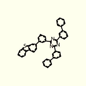 c1ccc(-c2cccc(-c3nc(-c4cccc(-c5ccccc5)c4)nc(-c4cccc(-c5ccc6c(c5)sc5ccccc56)c4)n3)c2)cc1